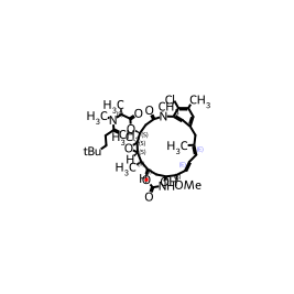 C=C(CCC(C)(C)C)N(C)[C@@H](C)C(=O)O[C@H]1CC(=O)N(C)c2cc(cc(C)c2Cl)C/C(C)=C/C=C/[C@@H](OC)[C@@]2(O)C[C@H](OC(=O)N2)[C@@H](C)[C@@H]2O[C@@]12C